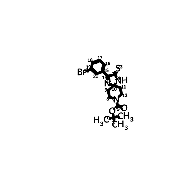 CC(C)(C)OC(=O)N1CCC2(CC1)N=C(c1cccc(Br)c1)C(=S)N2